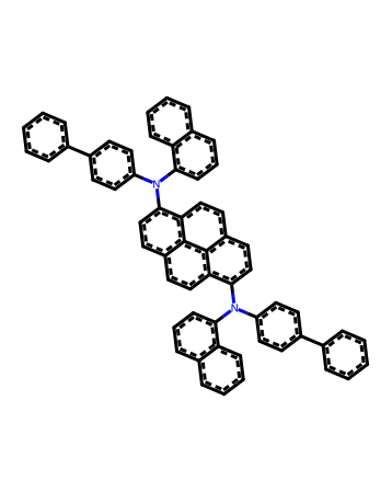 c1ccc(-c2ccc(N(c3cccc4ccccc34)c3ccc4ccc5c(N(c6ccc(-c7ccccc7)cc6)c6cccc7ccccc67)ccc6ccc3c4c65)cc2)cc1